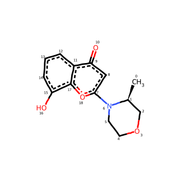 C[C@H]1COCCN1c1cc(=O)c2cccc(O)c2o1